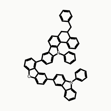 c1ccc(CC2Cc3ccc4c5cc(-c6cccc7oc8ccc(-c9ccc%10c(c9)c9ccccc9n%10-c9ccccc9)cc8c67)ccc5n(-c5ccccc5)c4c3-c3ccccc32)cc1